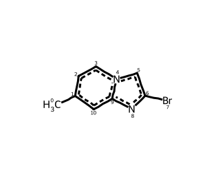 Cc1ccn2cc(Br)nc2c1